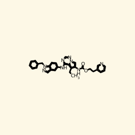 CCc1c(NC(=O)OCCc2cccnc2)cn2ncnc(Nc3ccc4c(cnn4Cc4ccccc4)c3)c12